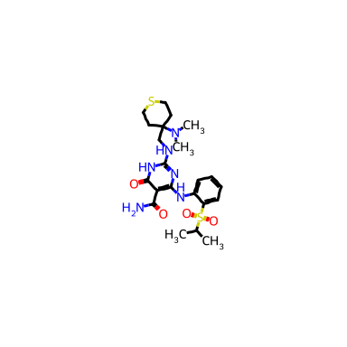 CC(C)S(=O)(=O)c1ccccc1Nc1nc(NCC2(N(C)C)CCSCC2)[nH]c(=O)c1C(N)=O